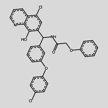 O=C(COc1ccccc1)NC(c1cccc(Oc2ccc(Cl)cc2)c1)c1cc(Cl)c2cccnc2c1O